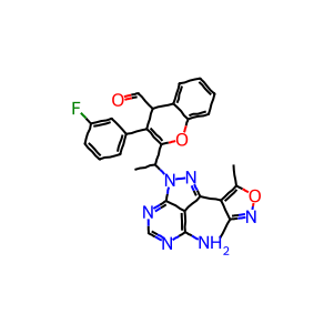 Cc1noc(C)c1-c1nn(C(C)C2=C(c3cccc(F)c3)C(C=O)c3ccccc3O2)c2ncnc(N)c12